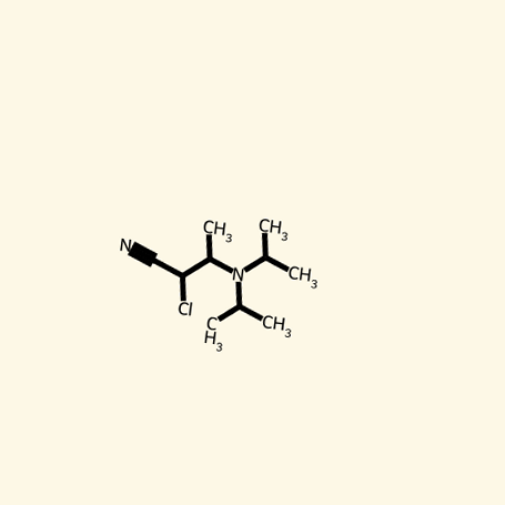 CC(C)N(C(C)C)C(C)C(Cl)C#N